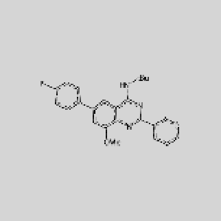 COc1cc(-c2ccc(F)cc2)cc2c(NC(C)(C)C)nc(-c3cccnc3)nc12